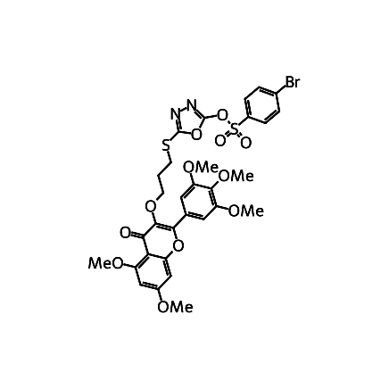 COc1cc(OC)c2c(=O)c(OCCCSc3nnc(OS(=O)(=O)c4ccc(Br)cc4)o3)c(-c3cc(OC)c(OC)c(OC)c3)oc2c1